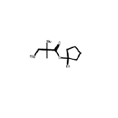 CCC1(OC(=O)C(C)(CC(C)(C)C)C(C)(C)C)CCCC1